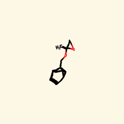 CC1(OCC2CC3C=CC2C3)CO1